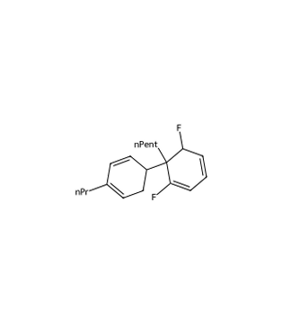 CCCCCC1(C2C=CC(CCC)=CC2)C(F)=CC=CC1F